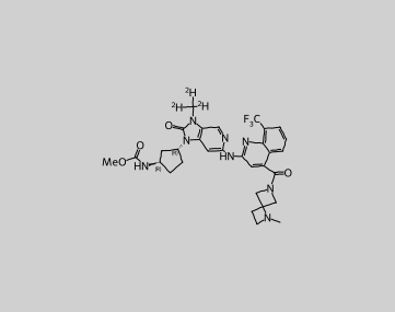 [2H]C([2H])([2H])n1c(=O)n([C@@H]2CC[C@@H](NC(=O)OC)C2)c2cc(Nc3cc(C(=O)N4CC5(CCN5C)C4)c4cccc(C(F)(F)F)c4n3)ncc21